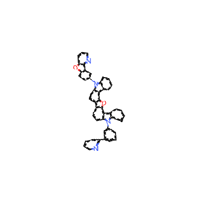 c1ccc(-c2cccc(-n3c4ccccc4c4c5oc6c(ccc7c6c6ccccc6n7-c6ccc7oc8cccnc8c7c6)c5ccc43)c2)nc1